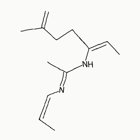 C=C(C)CC/C(=C/C)N/C(C)=N/C=C\C